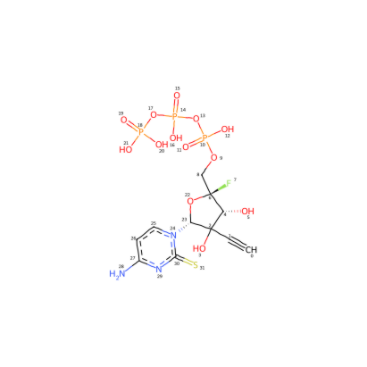 C#CC1(O)[C@@H](O)[C@@](F)(COP(=O)(O)OP(=O)(O)OP(=O)(O)O)O[C@H]1n1ccc(N)nc1=S